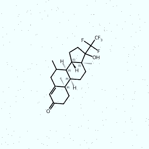 CC1CC2=CC(=O)CC[C@]2(C)[C@@H]2CC[C@@]3(C)[C@@H](CCC3(O)C(F)(F)C(F)(F)F)[C@H]12